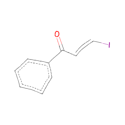 O=C(C=CI)c1ccccc1